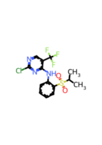 CC(C)S(=O)(=O)c1ccccc1Nc1nc(Cl)ncc1C(F)(F)F